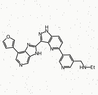 CCNCc1cncc(-c2ccc3[nH]nc(-c4nc5c(-c6ccoc6)cncc5[nH]4)c3n2)c1